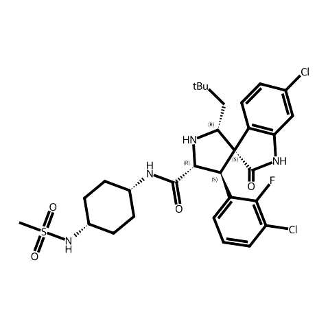 CC(C)(C)C[C@H]1N[C@@H](C(=O)N[C@H]2CC[C@@H](NS(C)(=O)=O)CC2)[C@H](c2cccc(Cl)c2F)[C@@]12C(=O)Nc1cc(Cl)ccc12